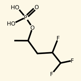 CC(CC(F)C(F)F)OP(=O)(O)O